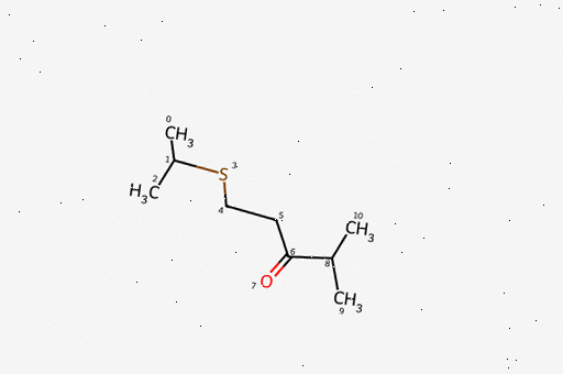 CC(C)SCCC(=O)C(C)C